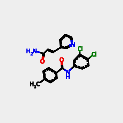 Cc1ccc(C(=O)Nc2ccc(Cl)c(Cl)c2)cc1.NC(=O)C=Cc1cccnc1